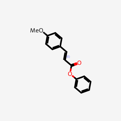 COc1ccc(/C=C/C(=O)Oc2ccccc2)cc1